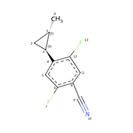 C[C@H]1C[C@@H]1c1cc(F)c(C#N)cc1F